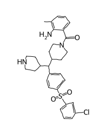 Cc1cccc(C(=O)N2CCC(C(c3ccc(S(=O)(=O)c4cccc(Cl)c4)cc3)C3CCNCC3)CC2)c1N